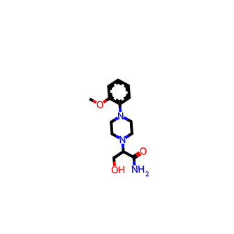 COc1ccccc1N1CCN(C(CO)C(N)=O)CC1